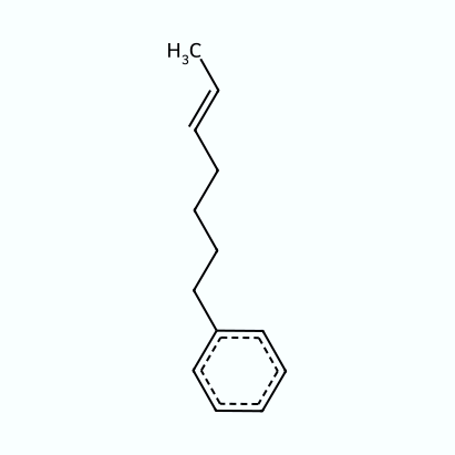 CC=CCCCCc1ccccc1